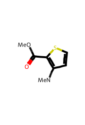 CNc1ccsc1C(=O)OC